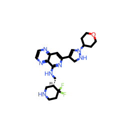 FC1(F)CCNC[C@@H]1CNc1nc(C2=CN(C3CCOCC3)NC2)cc2nccnc12